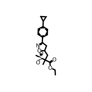 CCOC(=O)C(C)(CC1CC(c2ccc(C3CC3)cc2)=NO1)S(C)(=O)=O